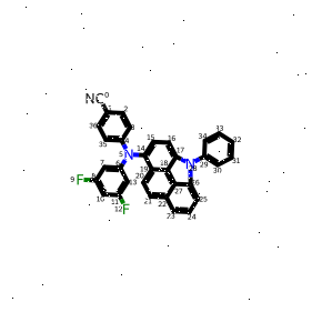 N#Cc1ccc(N(c2cc(F)cc(F)c2)c2ccc3c4c2ccc2cccc(c24)n3-c2ccccc2)cc1